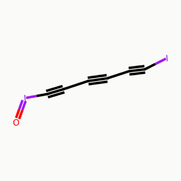 O=IC#CC#CC#CI